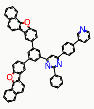 c1ccc(-c2nc(-c3ccc(-c4cccnc4)cc3)cc(-c3cc(-c4ccc5oc6c7ccccc7ccc6c5c4)cc(-c4ccc5oc6c7ccccc7ccc6c5c4)c3)n2)cc1